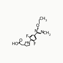 C=N/C=C(\N=C\OCCC)c1cc(F)c(N2CCC(CC(=O)O)C2)c(F)c1